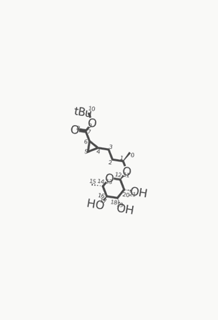 C[C@H](CCC1CC1C(=O)OC(C)(C)C)O[C@@H]1O[C@@H](C)[C@H](O)[C@@H](O)[C@H]1O